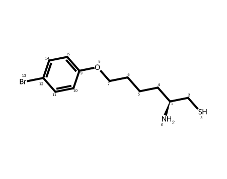 N[C@H](CS)CCCCOc1ccc(Br)cc1